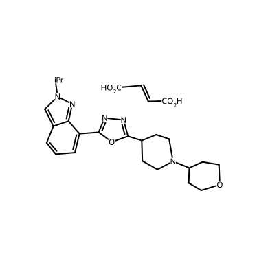 CC(C)n1cc2cccc(-c3nnc(C4CCN(C5CCOCC5)CC4)o3)c2n1.O=C(O)C=CC(=O)O